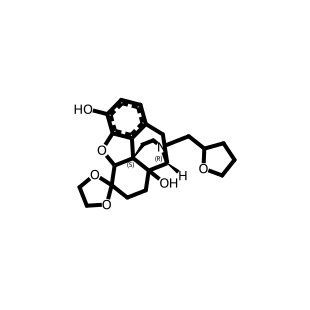 Oc1ccc2c3c1OC1C4(CCC5(O)[C@@H](C2)N(CC2CCCO2)CC[C@]315)OCCO4